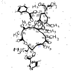 CC[C@H]1OC(=O)[C@H](C)C(=O)[C@H](C)[C@@H](OC2O[C@H](C)C[C@H](N(C)C)[C@H]2OC(=O)c2ccccc2)[C@@](C)(OC)C[C@@H](C)C(=O)/C(C)=C/[C@@H]1OC(=O)n1ccnc1